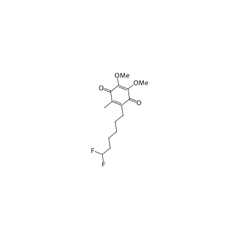 COC1=C(OC)C(=O)C(CCCCCC(F)F)=C(C)C1=O